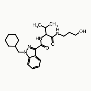 CC(C)C(NC(=O)c1nn(CC2CCCCC2)c2ccccc12)C(=O)NCCCO